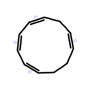 C1=C\C=C/CC/C=C\C\C=C/1